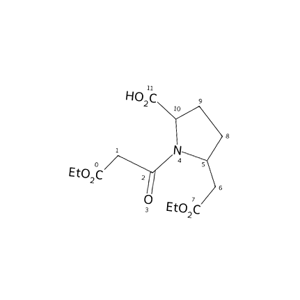 CCOC(=O)CC(=O)N1C(CC(=O)OCC)CCC1C(=O)O